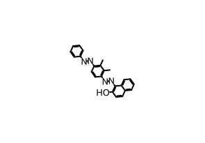 Cc1c(N=Nc2c(O)ccc3ccccc23)ccc(/N=N/c2ccccc2)c1C